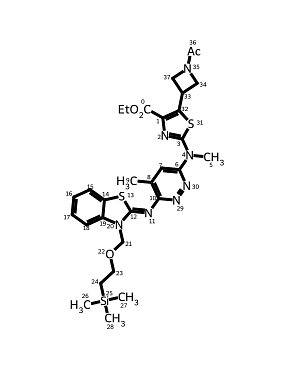 CCOC(=O)c1nc(N(C)c2cc(C)c(/N=c3\sc4ccccc4n3COCC[Si](C)(C)C)nn2)sc1C1CN(C(C)=O)C1